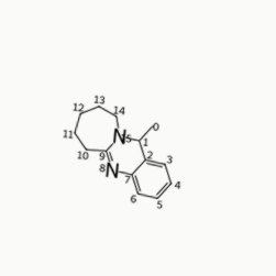 CC1c2ccccc2N=C2CCCCCN21